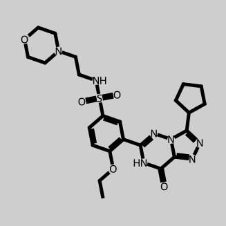 CCOc1ccc(S(=O)(=O)NCCN2CCOCC2)cc1-c1nn2c(C3CCCC3)nnc2c(=O)[nH]1